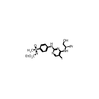 CCOC(=O)N=S(C)(=O)c1ccc(Nc2ncc(I)c(N[C@@H](CO)C(C)C)n2)cc1